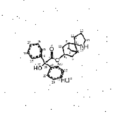 Cl.O=C(OC1CC2CCC(C1)C21CCCN1)C(O)(c1ccccc1)c1ccccc1